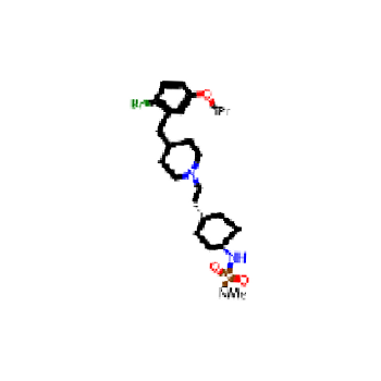 CNS(=O)(=O)N[C@H]1CC[C@H](CCN2CCC(Cc3cc(OC(C)C)ccc3Br)CC2)CC1